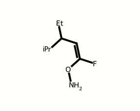 CCC(/C=C(/F)ON)C(C)C